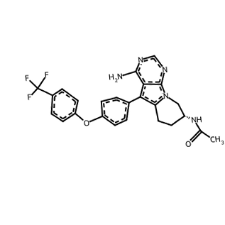 CC(=O)N[C@@H]1CCc2c(-c3ccc(Oc4ccc(C(F)(F)F)cc4)cc3)c3c(N)ncnc3n2C1